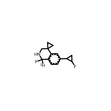 [2H]C1(F)NCC2(CC2)c2cc(C3CC3F)ccc21